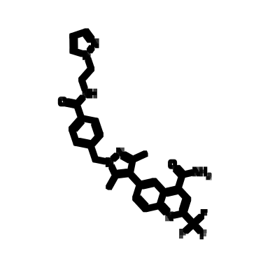 Cc1nn(Cc2ccc(C(=O)NCCn3cccn3)cc2)c(C)c1-c1ccc2nc(C(F)(F)F)cc(C(N)=O)c2c1